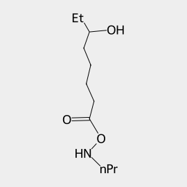 CCCNOC(=O)CCCCC(O)CC